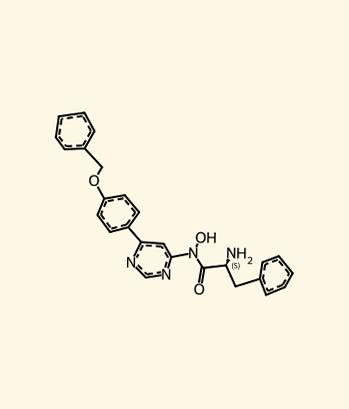 N[C@@H](Cc1ccccc1)C(=O)N(O)c1cc(-c2ccc(OCc3ccccc3)cc2)ncn1